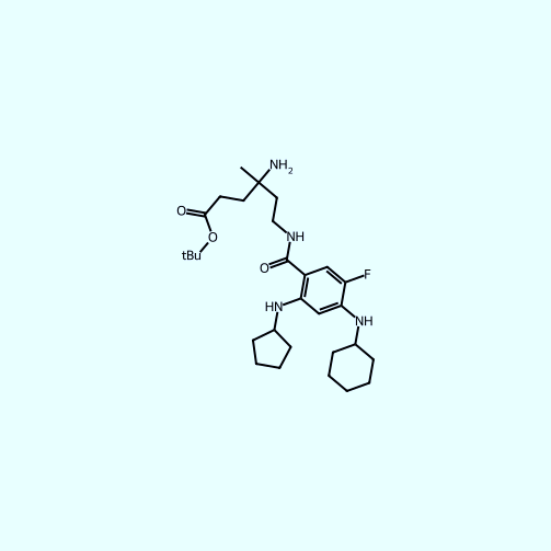 CC(N)(CCNC(=O)c1cc(F)c(NC2CCCCC2)cc1NC1CCCC1)CCC(=O)OC(C)(C)C